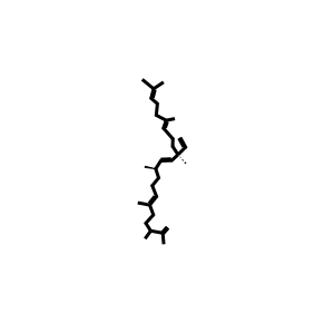 C=C[C@@](C)(/C=C/[C@H](C)CC/C=C(\C)CCC(C)C(=C)C)CC/C=C(\C)CCC=C(C)C